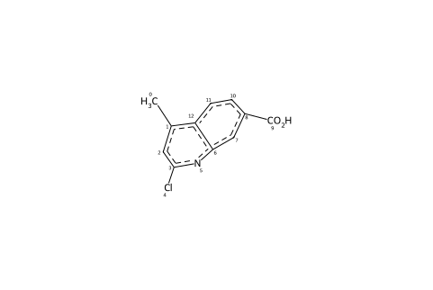 Cc1cc(Cl)nc2cc(C(=O)O)ccc12